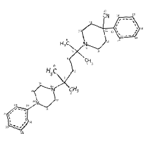 CC(C)(CCC(C)(C)N1CCC(C#N)(c2ccccc2)CC1)N1CCN(c2ccccc2)CC1